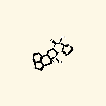 CN(C(=O)[C@@H]1CC2c3cccc4[nH]cc(c34)C[C@H]2N(C)C1)c1cnccn1